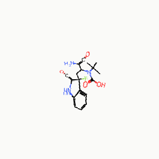 CC(C)(C)N(C(=O)O)C(CC1(F)C(=C=O)Nc2ccccc21)C(N)=C=O